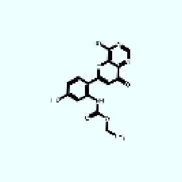 CCOC(=O)Nc1cc(O)ccc1-c1cc(=O)c2ncnc(O)c2o1